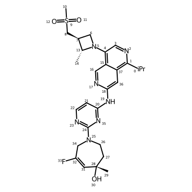 CC(C)c1ncc(N2C[C@H](CS(C)(=O)=O)[C@H]2C)c2cnc(Nc3ccnc(N4CC[C@](C)(O)C=C(F)C4)n3)cc12